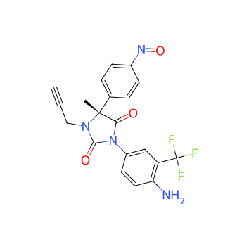 C#CCN1C(=O)N(c2ccc(N)c(C(F)(F)F)c2)C(=O)[C@@]1(C)c1ccc(N=O)cc1